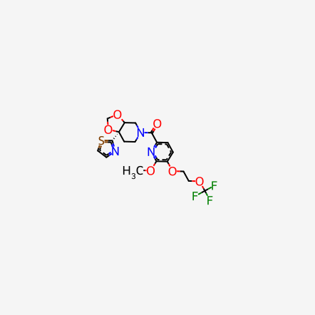 COc1nc(C(=O)N2CC[C@@]3(c4nccs4)OCOC3C2)ccc1OCCOC(F)(F)F